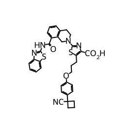 N#CC1(c2ccc(OCCCc3sc(N4CCc5cccc(C(=O)Nc6nc7ccccc7s6)c5C4)nc3C(=O)O)cc2)CCC1